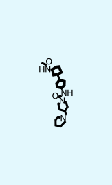 CC(=O)Nc1cccc(-c2ccc(NC(=O)N3CCC(CN4CCCCC4)CC3)cc2)c1